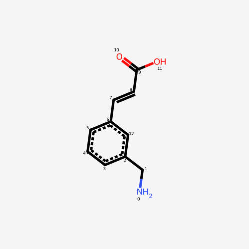 NCc1c[c]cc(C=CC(=O)O)c1